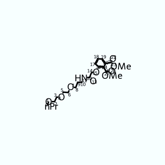 CCCOCCOCCOCCCNC(=O)COc1cccc(C(=O)OC)c1C(=O)OC